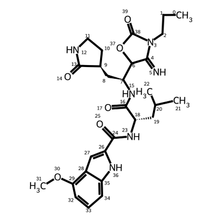 CCCN1C(=N)C([C@H](C[C@@H]2CCNC2=O)NC(=O)[C@H](CC(C)C)NC(=O)c2cc3c(OC)cccc3[nH]2)OC1=O